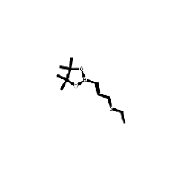 CCSCC=CB1OC(C)(C)C(C)(C)O1